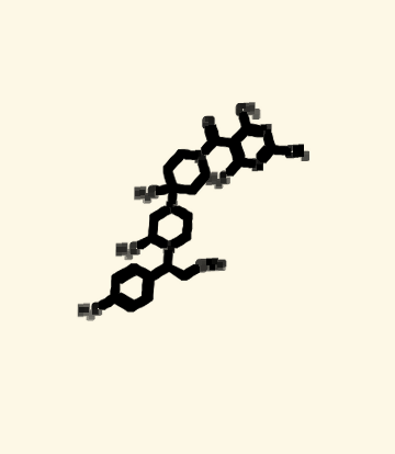 COC[C@@H](c1ccc(C)cc1)N1CCN(C2(C)CCN(C(=O)c3c(C)nc(C)nc3C)CC2)C[C@@H]1C